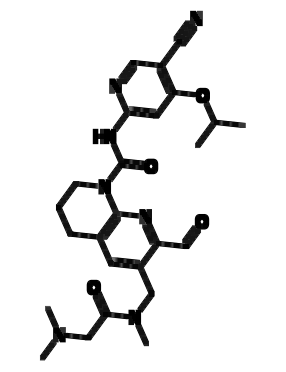 CC(C)Oc1cc(NC(=O)N2CCCc3cc(CN(C)C(=O)CN(C)C)c(C=O)nc32)ncc1C#N